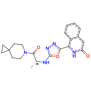 C[C@@H](Nc1nnc(-c2[nH]c(=O)cc3ccccc23)o1)C(=O)N1CCC2(CC1)CC2